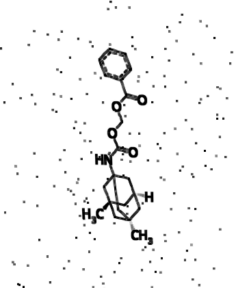 C[C@]12C[C@H]3CC(NC(=O)OCOC(=O)c4ccccc4)(C1)C[C@@](C)(C3)C2